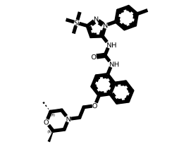 Cc1ccc(-n2nc([Si](C)(C)C)cc2NC(=O)Nc2ccc(OCCN3C[C@@H](C)O[C@H](C)C3)c3ccccc23)cc1